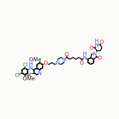 COc1cc(Nc2c(C#N)cnc3cc(OCCCN4CCN(C(=O)CCCCC(=O)Nc5cccc6c5CN(C5CCC(=O)NC5=O)C6=O)CC4)c(OC)cc23)c(Cl)cc1Cl